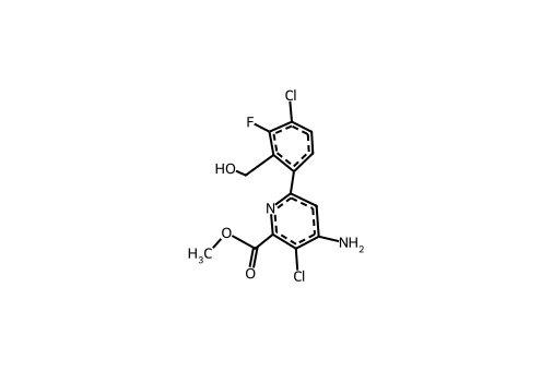 COC(=O)c1nc(-c2ccc(Cl)c(F)c2CO)cc(N)c1Cl